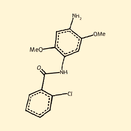 COc1cc(NC(=O)c2ccccc2Cl)c(OC)cc1N